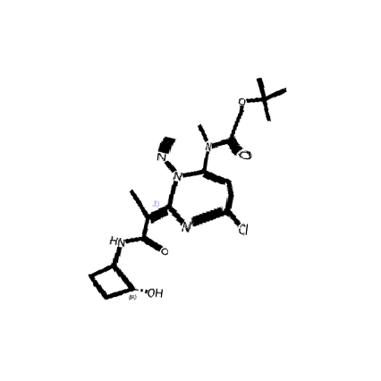 C=NN1C(N(C)C(=O)OC(C)(C)C)=CC(Cl)=N/C1=C(/C)C(=O)NC1CC[C@H]1O